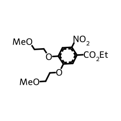 CCOC(=O)c1cc(OCCOC)c(OCCOC)cc1[N+](=O)[O-]